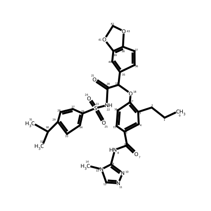 CCCc1cc(C(=O)Nc2nncn2C)ccc1OC(C(=O)NS(=O)(=O)c1ccc(C(C)C)cc1)c1ccc2c(c1)OCO2